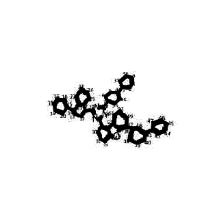 c1ccc(-c2ccc(-c3nc(-c4ccc(-c5ccccc5)c5ccccc45)nc(-c4cccc5oc6c(-c7cccc(-c8ccccc8)c7)cccc6c45)n3)cc2)cc1